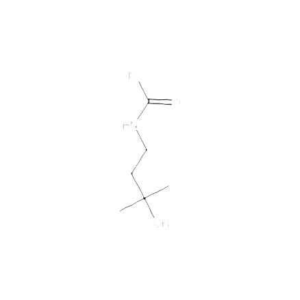 CC(C)C(=O)NCCC(C)(C)O